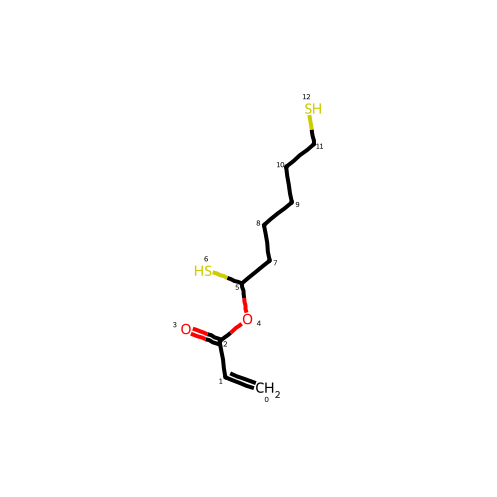 C=CC(=O)OC(S)CCCCCS